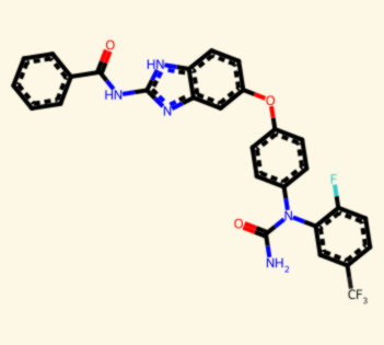 NC(=O)N(c1ccc(Oc2ccc3[nH]c(NC(=O)c4ccccc4)nc3c2)cc1)c1cc(C(F)(F)F)ccc1F